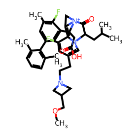 COCC1CN(CCC2=CN3C(=C4C[N+]4(C(CC(=O)O)c4cc(-c5c(C)cccc5C)cc(C)c4F)C(=O)C3CC(C)C)C(F)=C2)C1